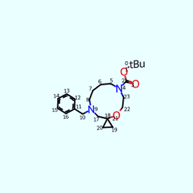 CC(C)(C)OC(=O)N1CCCCN(Cc2ccccc2)CC2(CC2)OCC1